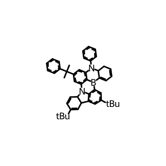 CC(C)(C)C1=CC2c3cc(C(C)(C)C)cc4c3N(c3cc(C(C)(C)c5ccccc5)cc5c3B4C3=CC=CCC3N5c3ccccc3)C2C=C1